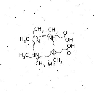 CCC1=C(C)c2cc3[nH]c(cc4nc(cc5[nH]c(cc1n2)c(C)c5CCC(=O)O)C(CCC(=O)O)=C4C)c(C)c3CC.[Mn]